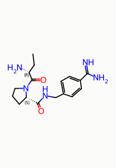 CC[C@@H](N)C(=O)N1CCC[C@H]1C(=O)NCc1ccc(C(=N)N)cc1